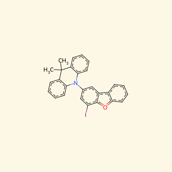 CC1(C)c2ccccc2N(c2cc(I)c3oc4ccccc4c3c2)c2ccccc21